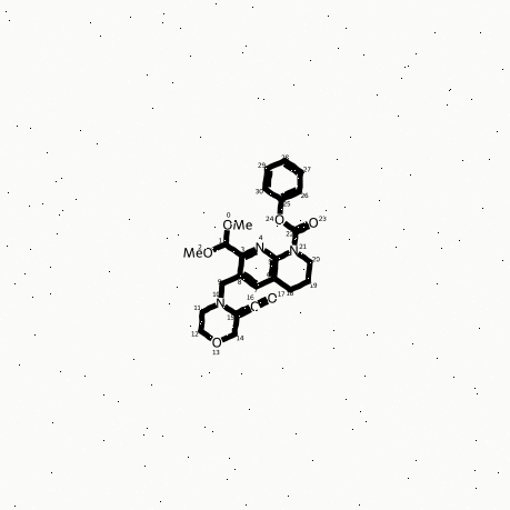 COC(OC)c1nc2c(cc1CN1CCOCC1=C=O)CCCN2C(=O)Oc1ccccc1